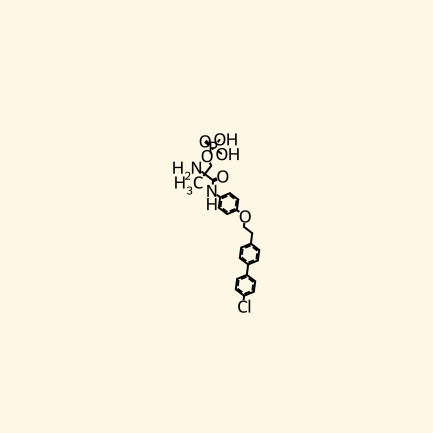 CC(N)(COP(=O)(O)O)C(=O)Nc1ccc(OCCc2ccc(-c3ccc(Cl)cc3)cc2)cc1